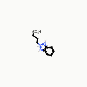 O=S(=O)(O)CCCn1nc2ccccc2n1